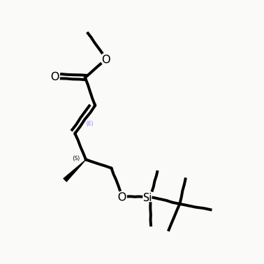 COC(=O)/C=C/[C@H](C)CO[Si](C)(C)C(C)(C)C